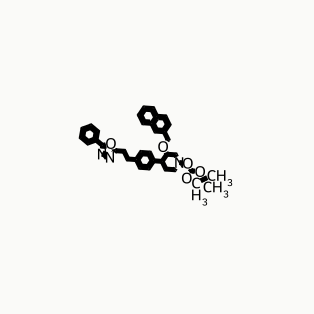 CC(C)(C)OC(=O)ON1CCC(c2ccc(CCc3nnc(-c4ccccc4)o3)cc2)C(OCc2ccc3ccccc3c2)C1